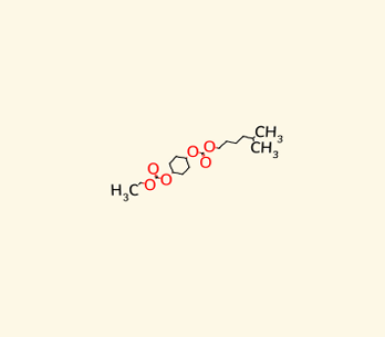 CCOC(=O)OC1CCC(OC(=O)OCCCCC(C)C)CC1